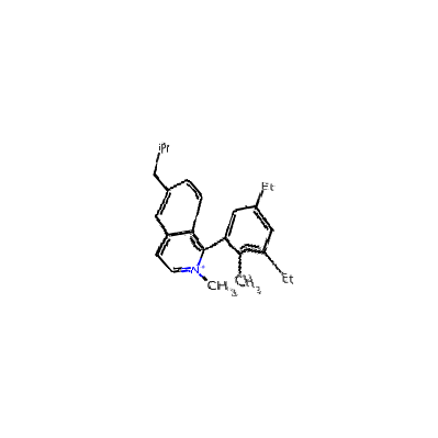 CCc1cc(CC)c(C)c(-c2c3ccc(CC(C)C)cc3cc[n+]2C)c1